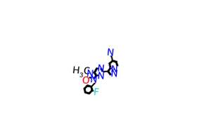 Cn1c(=O)n(Cc2ccccc2F)c2nc(-c3cnn4ccc(C#N)cc34)ncc21